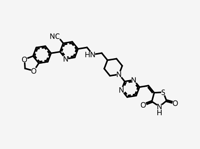 N#Cc1cc(CNCC2CCN(c3nccc(C=C4SC(=O)NC4=O)n3)CC2)cnc1-c1ccc2c(c1)OCO2